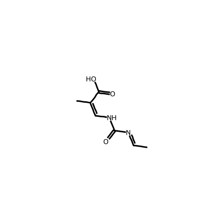 CC=NC(=O)NC=C(C)C(=O)O